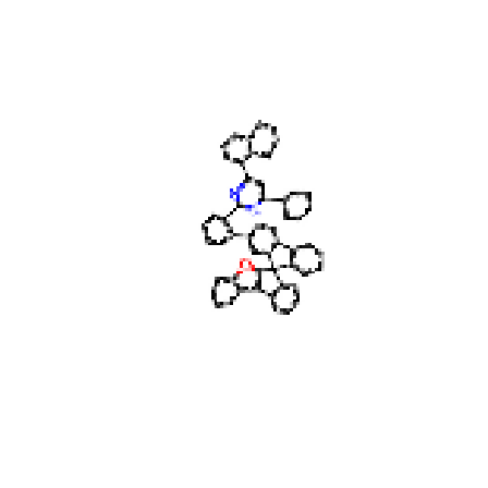 c1ccc(-c2cc(-c3cccc4ccccc34)nc(-c3ccccc3-c3ccc4c(c3)C3(c5ccccc5-4)c4ccccc4-c4c3oc3ccccc43)n2)cc1